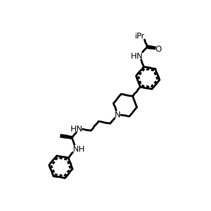 C=C(NCCCN1CCC(c2cccc(NC(=O)C(C)C)c2)CC1)Nc1ccccc1